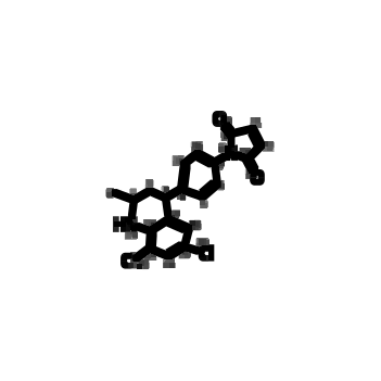 CC1CC(c2ccc(N3C(=O)C=CC3=O)cc2)c2cc(Cl)cc(Cl)c2N1